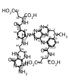 CN(Cc1cnc2nc(N)nc(N)c2n1)c1ccc(C(=O)N[C@@H](CCC(=O)O)C(=O)O)cc1.Nc1nc(=O)c2c([nH]1)NCC(CNc1ccc(C(=O)N[C@@H](CCC(=O)O)C(=O)O)cc1)N2